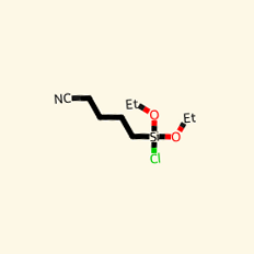 CCO[Si](Cl)(CCCCC#N)OCC